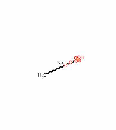 CCCCCCCCCCCCOCCOCCOP(=O)([O-])O.[Na+]